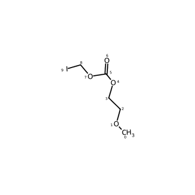 COCCOC(=O)OCI